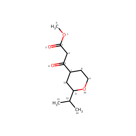 COC(=O)CC(=O)C1CCOC(C(C)C)C1